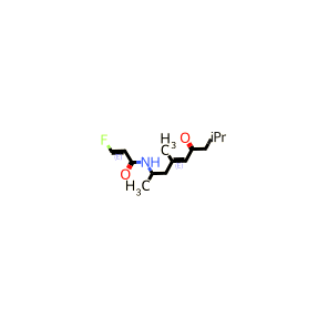 C/C(=C\C(=O)CC(C)C)CC(C)NC(=O)/C=C/F